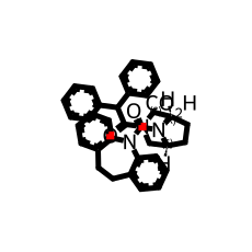 O=C(O)[C@@H]1[C@H]2CC[C@@H](CN1C(=O)C(c1ccccc1)c1ccccc1)N2C(=O)N1c2ccccc2CCc2ccccc21